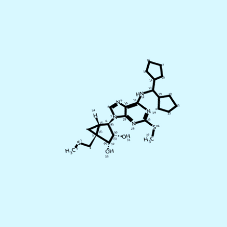 CSC[C@@]12C[C@@H]1[C@@H](n1cnc3c(NC(C4CCCC4)C4CCCC4)nc(SC)nc31)[C@H](O)[C@@H]2O